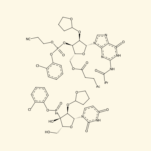 CC(=O)CCC(=O)OC[C@H]1O[C@@H](n2cnc3c(=O)[nH]c(NC(=O)C(C)C)nc32)[C@H](OC2CCCO2)[C@@H]1OP(=O)(OCCC#N)Oc1ccccc1Cl.O=c1ccn([C@@H]2O[C@H](CO)[C@](O)([PH](=O)Oc3ccccc3Cl)[C@H]2OC2CCCO2)c(=O)[nH]1